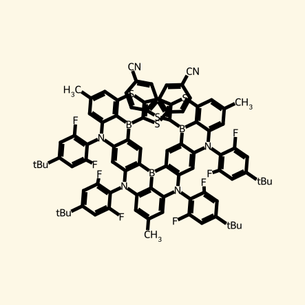 Cc1cc2c3c(c1)N(c1c(F)cc(C(C)(C)C)cc1F)c1cc4c(cc1B3c1sc3ccc(C#N)cc3c1S2)B1c2cc3c(cc2N(c2c(F)cc(C(C)(C)C)cc2F)c2cc(C)cc(c21)N4c1c(F)cc(C(C)(C)C)cc1F)N(c1c(F)cc(C(C)(C)C)cc1F)c1cc(C)cc2c1B3c1sc3ccc(C#N)cc3c1S2